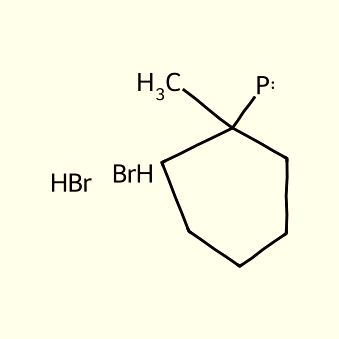 Br.Br.CC1([P])CCCCC1